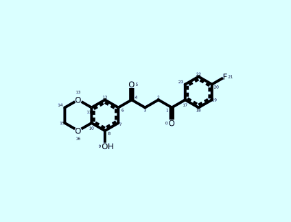 O=C(CCC(=O)c1cc(O)c2c(c1)OCCO2)c1ccc(F)cc1